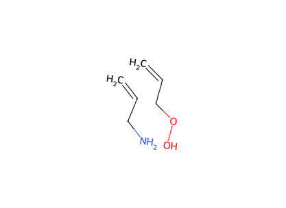 C=CCN.C=CCOO